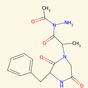 CC(=O)N(N)C(=O)C(C)N1CC(=O)NC(Cc2ccccc2)C1=O